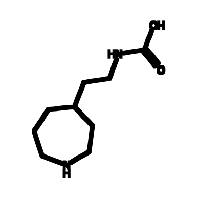 O=C(O)NCCC1CCCNCC1